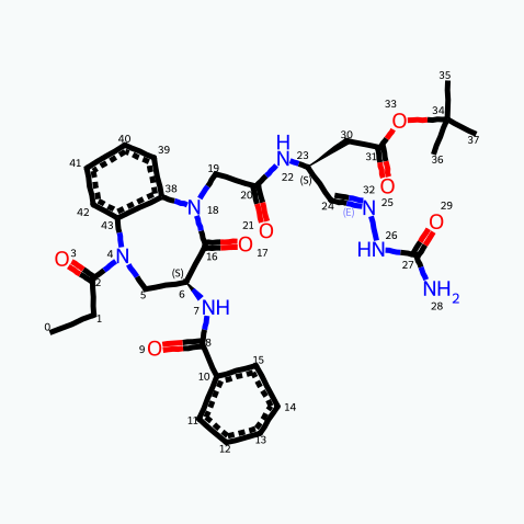 CCC(=O)N1C[C@H](NC(=O)c2ccccc2)C(=O)N(CC(=O)N[C@H](/C=N/NC(N)=O)CC(=O)OC(C)(C)C)c2ccccc21